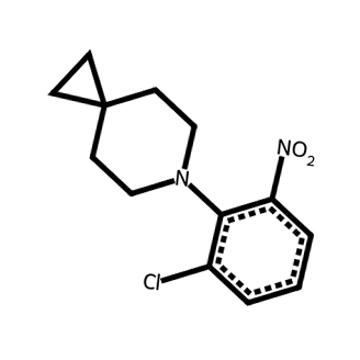 O=[N+]([O-])c1cccc(Cl)c1N1CCC2(CC1)CC2